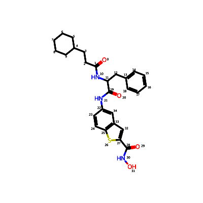 O=C(CCC1CCCCC1)NC(Cc1ccccc1)C(=O)Nc1ccc2sc(C(=O)NO)cc2c1